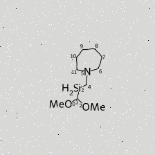 COC(OC)[SiH2]CN1CCCCCC1